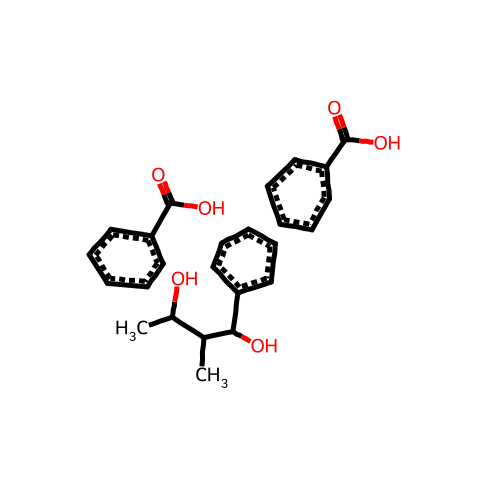 CC(O)C(C)C(O)c1ccccc1.O=C(O)c1ccccc1.O=C(O)c1ccccc1